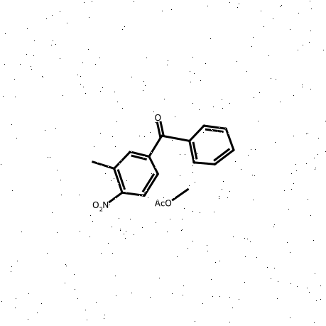 COC(C)=O.Cc1cc(C(=O)c2ccccc2)ccc1[N+](=O)[O-]